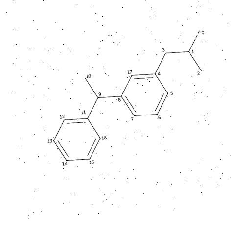 CC(C)Cc1cccc(C(C)c2ccccc2)c1